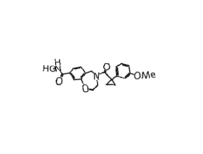 COc1cccc(C2(C(=O)N3CCOc4cc(C(=O)NO)ccc4C3)CC2)c1